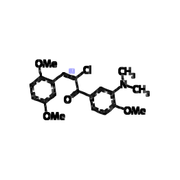 COc1ccc(OC)c(/C=C(/Cl)C(=O)c2ccc(OC)c(N(C)C)c2)c1